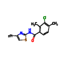 CCCc1csc(NC(=O)c2ccc(C)c(Cl)c2C)n1